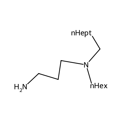 CCCCCCCCN(CCCN)CCCCCC